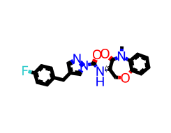 CN1C(=O)[C@@H](NC(=O)n2cc(Cc3ccc(F)cc3)cn2)COc2ccccc21